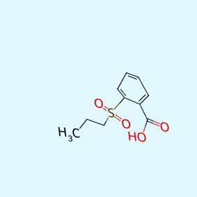 CCCS(=O)(=O)c1ccccc1C(=O)O